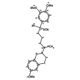 COc1ccc2c(c1)CCC(N(C)CCCC(C#N)(c1ccc(OC)c(OC)c1)C(C)C)C2